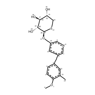 COc1ccc(-c2cncc(O[C@@H]3SC[C@@H](O)[C@H](O)[C@H]3O)c2)cc1C